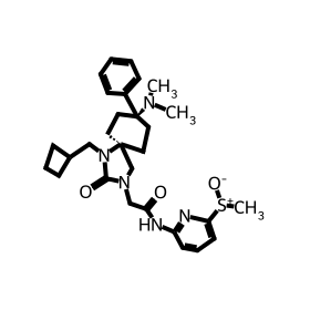 CN(C)[C@]1(c2ccccc2)CC[C@]2(CC1)CN(CC(=O)Nc1cccc([S+](C)[O-])n1)C(=O)N2CC1CCC1